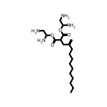 C=C(CCCCCCCCCC)CC(C(=O)OC(N)CN)C(=O)OC(N)CN